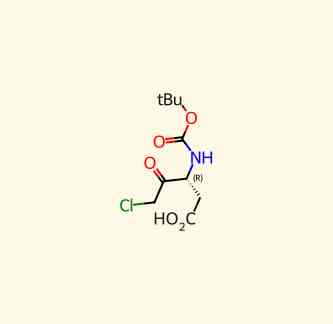 CC(C)(C)OC(=O)N[C@H](CC(=O)O)C(=O)CCl